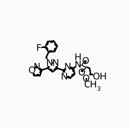 COC(O)CS(=O)(=O)Nc1ccnc(-c2cc(-c3ccon3)n(Cc3ccccc3F)n2)n1